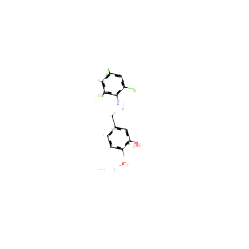 COc1ccc(CNc2c(F)cc(F)cc2F)cc1O